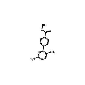 Cc1ccc(N)nc1-c1ccc(C(=O)OC(C)(C)C)cc1